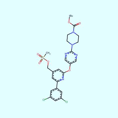 CC(C)(C)OC(=O)N1CCN(c2ncc(Oc3cc(COS(C)(=O)=O)cc(-c4cc(Cl)cc(Cl)c4)n3)cn2)CC1